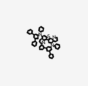 c1ccc(-c2cc(-c3ccccc3)cc(N(c3ccccc3)c3cc4c(sc5cc(N(c6ccccc6)c6cc(-c7ccccc7)cc(-c7ccccc7)c6)c6cccnc6c54)c4ncccc34)c2)cc1